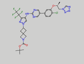 C[C@@H](Cn1cnnn1)Oc1cc(-c2cnc(Nc3cn(C4CC5(C4)CN(C(=O)OC(C)(C)C)C5)nc3C(F)(F)C(F)(F)F)nc2)ccc1Cl